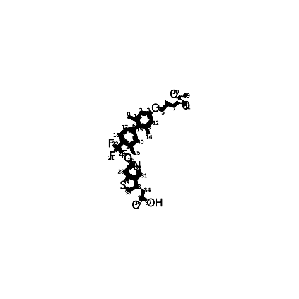 Cc1cc(OCCCS(C)(=O)=O)cc(C)c1-c1ccc(C(F)(F)F)c(COc2cc3c(cn2)[C@H](CC(=O)O)CS3)c1